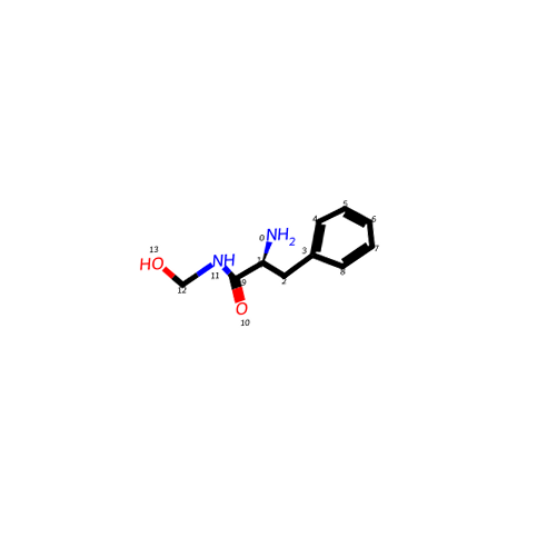 N[C@@H](Cc1ccccc1)C(=O)NCO